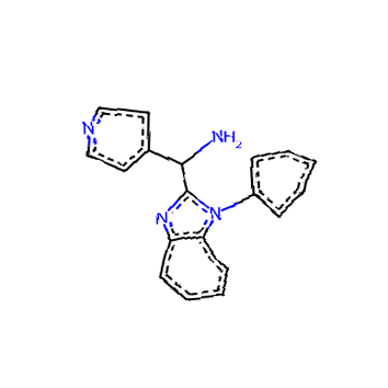 NC(c1ccncc1)c1nc2ccccc2n1-c1ccccc1